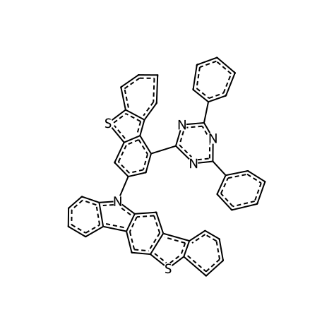 c1ccc(-c2nc(-c3ccccc3)nc(-c3cc(-n4c5ccccc5c5cc6sc7ccccc7c6cc54)cc4sc5ccccc5c34)n2)cc1